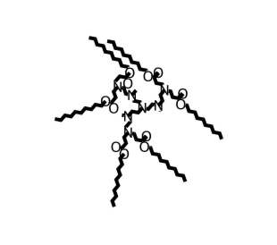 CCCCCCCCCCOC(=O)CCN(CCC(=O)OCCCCCCCCCC)CCN(C)CCN(CCN(C)CCN(CCC(=O)OCCCCCCCCCC)CCC(=O)OCCCCCCCCCC)CCN(C)CCN(CCC(=O)OCCCCCCCCCC)CCC(=O)OCCCCCCCCCC